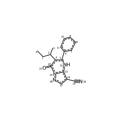 CCC(C)c1c(-c2ccccc2)[nH]c2c(C#N)cnn2c1=O